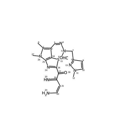 Cc1c(/C=N\N(C=O)Cc2ccn(C)n2)c2sc(C(=O)C(=N)/C=C\N)nc2n1C